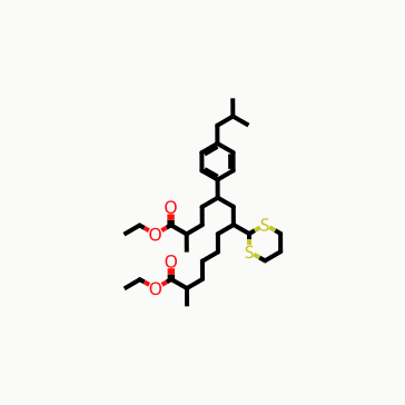 CCOC(=O)C(C)CCCCC(CC(CCC(C)C(=O)OCC)c1ccc(CC(C)C)cc1)C1SCCCS1